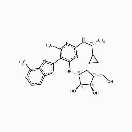 Cc1nc(N[C@H](C)C2CC2)nc(N[C@@H]2C[C@H](CO)[C@@H](O)[C@H]2O)c1-c1nc2c(C)nccc2s1